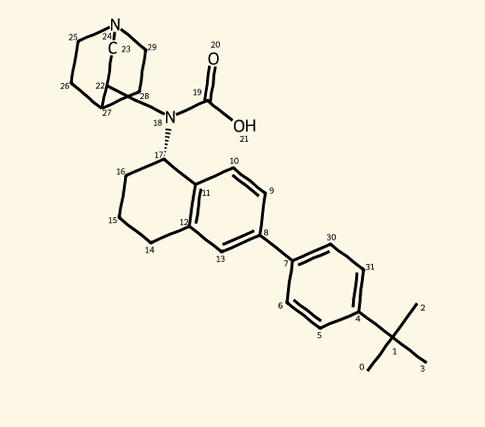 CC(C)(C)c1ccc(-c2ccc3c(c2)CCC[C@@H]3N(C(=O)O)C2CN3CCC2CC3)cc1